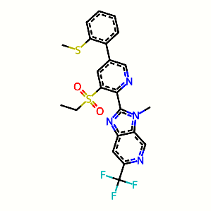 CCS(=O)(=O)c1cc(-c2ccccc2SC)cnc1-c1nc2cc(C(F)(F)F)ncc2n1C